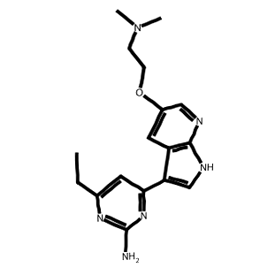 CCc1cc(-c2c[nH]c3ncc(OCCN(C)C)cc23)nc(N)n1